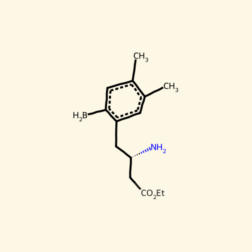 Bc1cc(C)c(C)cc1C[C@H](N)CC(=O)OCC